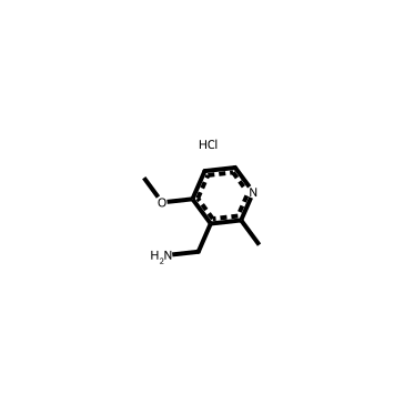 COc1ccnc(C)c1CN.Cl